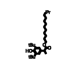 CC(C)CCCCCCCCCCOC(=O)C(C)c1cc(C(C)(C)C)c(O)c(C(C)(C)C)c1